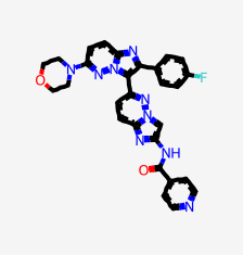 O=C(Nc1cn2nc(-c3c(-c4ccc(F)cc4)nc4ccc(N5CCOCC5)nn34)ccc2n1)c1ccncc1